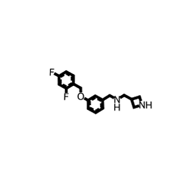 Fc1ccc(COc2cccc(CNCC3CNC3)c2)c(F)c1